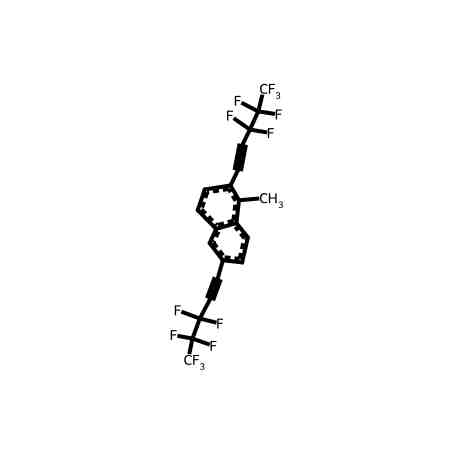 Cc1c(C#CC(F)(F)C(F)(F)C(F)(F)F)ccc2cc(C#CC(F)(F)C(F)(F)C(F)(F)F)ccc12